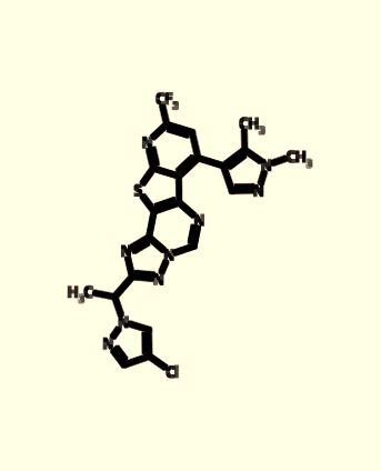 Cc1c(-c2cc(C(F)(F)F)nc3sc4c(ncn5nc(C(C)n6cc(Cl)cn6)nc45)c23)cnn1C